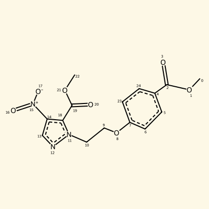 COC(=O)c1ccc(OCCn2ncc([N+](=O)[O-])c2C(=O)OC)cc1